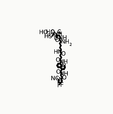 N#C[C@@H]1CC(F)(F)CN1C(=O)CNC(=O)c1ccnc2c(NC(=O)CCC(=O)NCCCC[C@H](N)C(=O)N[C@@H](CC(=O)O)C(=O)N[C@@H](CS)C(=O)O)cccc12